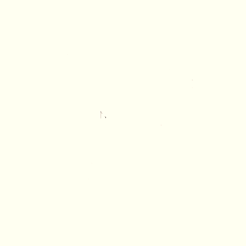 C=CC1=C(c2oc3ccccc3c2C)c2ccc(N(c3ccc(-c4ccccc4)cc3)c3ccc4c(c3)C(C)(C)c3ccccc3-4)cc2C1(C)C